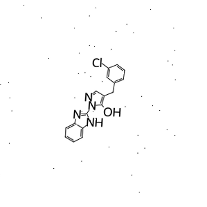 Oc1c(Cc2cccc(Cl)c2)cnn1-c1nc2ccccc2[nH]1